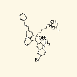 COc1nc2ccc(Br)cc2cc1C(c1ccccc1)C(O)(CCCCCN(C)C)c1cccc(/C=C/c2ccccc2)c1